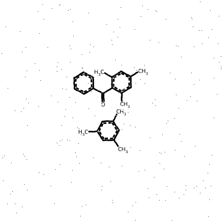 Cc1cc(C)c(C(=O)c2ccccc2)c(C)c1.Cc1cc(C)cc(C)c1